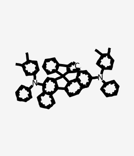 Cc1ccc(N(c2ccccc2)c2ccc3c4c(ccc3c2)-c2c(cc(N(c3ccccc3)c3ccc(C)c(C)c3)c3ccccc23)C42c3ccccc3-c3ccccc32)cc1C